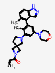 C=CC(=O)N1CC2(CCN(c3cc(N4CCOCC4)cc(-c4c(C)ccc5[nH]ncc45)c3C#N)C2)C1